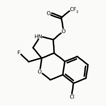 O=C(OC1NCC2(CF)OCc3c(Cl)cccc3C12)C(F)(F)F